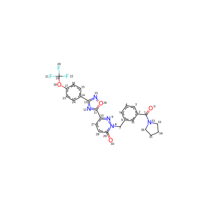 O=C(c1cccc(Cn2nc(-c3nc(-c4ccc(OC(F)(F)F)cc4)no3)ccc2=O)c1)N1CCCC1